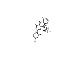 Cc1cccc2[s+]c3cc(N4CCNCC4C)cc(C)c3nc12.I.I.[I-]